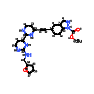 CC(C)(C)OC(=O)n1ncc2cc(C#Cc3ccnc(-c4ccnc(NCc5ccco5)n4)n3)ccc21